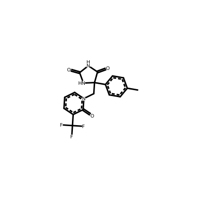 Cc1ccc(C2(Cn3cccc(C(F)(F)F)c3=O)NC(=O)NC2=O)cc1